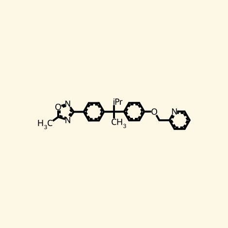 Cc1nc(-c2ccc(C(C)(c3ccc(OCc4ccccn4)cc3)C(C)C)cc2)no1